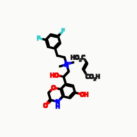 C[N+](C)(CCc1cc(F)cc(F)c1)C[C@H](O)c1cc(O)cc2c1OCC(=O)N2.O=C(O)/C=C/C(=O)O